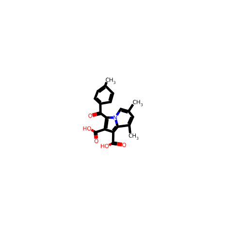 Cc1ccc(C(=O)c2c(C(=O)O)c(C(=O)O)c3c(C)cc(C)cn23)cc1